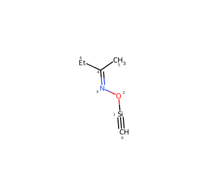 C#[Si]O/N=C(\C)CC